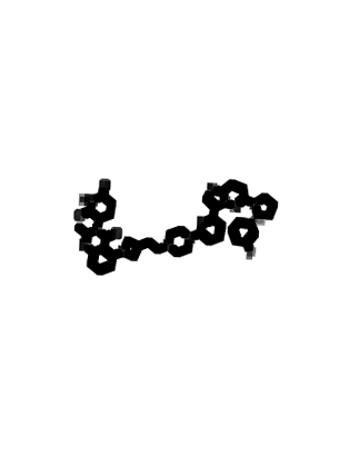 Cc1nc2cccc(N3CC(CCN4CCN(c5cccc(-c6cnc7ccc(N8CCC[C@@H]8c8cccc(F)c8)nn67)n5)CC4)C3)c2c(=O)n1C1CCC(=O)NC1=O